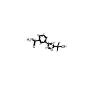 CC(C)(O)c1nc(-c2cccc(C(N)=O)c2)no1